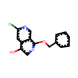 Oc1cnc(OCc2ccccc2)c2cnc(Cl)cc12